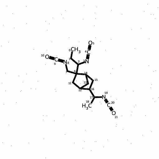 CCC(N=C=O)C1(CN=C=O)CC2CC1CC2C(C)N=C=O